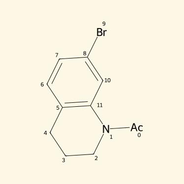 CC(=O)N1CCCc2ccc(Br)cc21